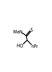 [CH2]CCC(O)C(=S)NC